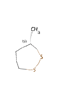 C[C@H]1CCSS1